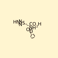 O=C(NC(CCCSc1nc[nH]n1)C(=O)O)OCc1ccccc1